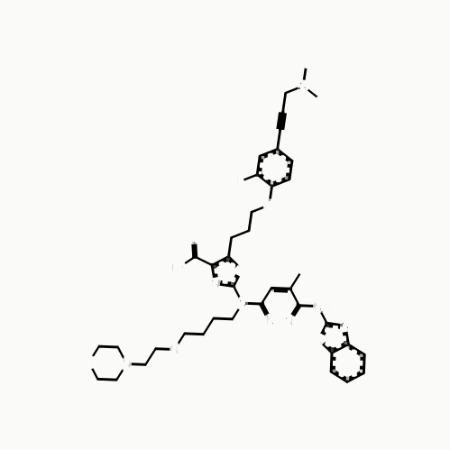 C/C(=C/C(=N)N(CCCCNCCN1CCOCC1)c1nc(C(=O)O)c(CCCOc2ccc(C#CCN(C)C)cc2F)s1)C(=N)Nc1nc2ccccc2s1